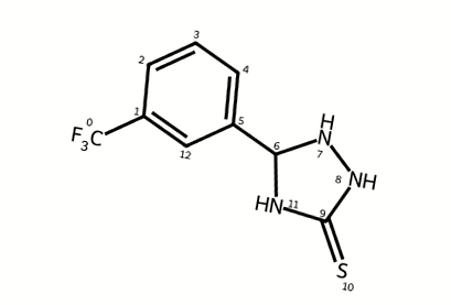 FC(F)(F)c1cccc(C2NNC(=S)N2)c1